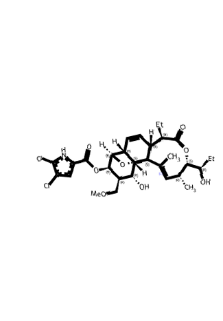 CC[C@@H](O)[C@H]1OC(=O)[C@H](CC)[C@H]2C=C[C@H]3[C@H]4O[C@]2(/C(C)=C/[C@H]1C)[C@@H]3[C@H](O)[C@@H](COC)[C@H]4OC(=O)c1cc(Cl)c(Cl)[nH]1